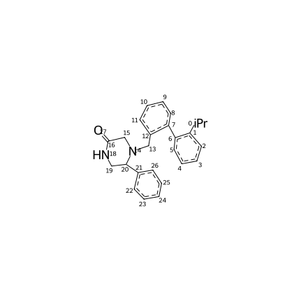 CC(C)c1ccccc1-c1ccccc1CN1CC(=O)NCC1c1ccccc1